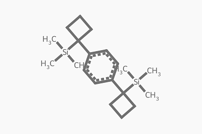 C[Si](C)(C)C1(c2ccc(C3([Si](C)(C)C)CCC3)cc2)CCC1